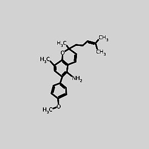 COc1ccc(-c2cc(C)c3c(c2N)C=CC(C)(CCC=C(C)C)O3)cc1